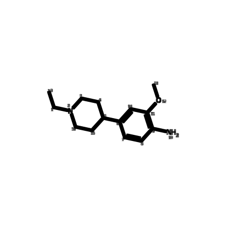 [CH2]CN1CCC(c2ccc(N)c(OC)c2)CC1